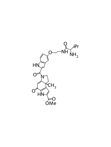 COC(=O)c1cc2c([nH]1)C(=O)C=C1N(C(=O)c3cc4cc(OCCNC(=O)C(N)C(C)C)ccc4[nH]3)CC[C@@]12C